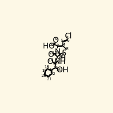 O=C(O)C1=C(/C=C/Cl)CS[C@@H]2C(NC(=O)C(O)c3ccccc3)C(=O)N12